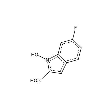 O=C(O)c1cc2ccc(F)cc2n1O